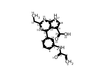 C=CC(=O)Nc1cccc(-c2nc(CC)nc3[nH]cc(C(=O)O)c23)c1